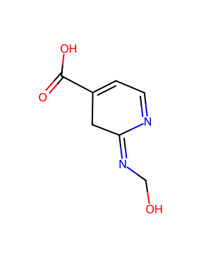 O=C(O)C1=CC=N/C(=N\CO)C1